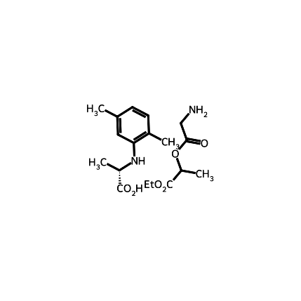 CCOC(=O)C(C)OC(=O)CN.Cc1ccc(C)c(N[C@@H](C)C(=O)O)c1